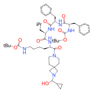 CC(C)C[C@@H](NC(=O)[C@@H](Cc1ccccc1)NC(=O)[C@@H](Cc1ccccc1)NC(=O)OC(C)(C)C)C(=O)N[C@H](CCCCNC(=O)OC(C)(C)C)C(=O)N1CCC2(CC1)CN(C(O)C1CC1)C2